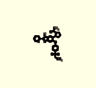 CCS(=O)(=O)c1ccc(Oc2cc3nc(-c4ccccn4)[nH]c3cc2C2CCCN2C(C)=O)cc1